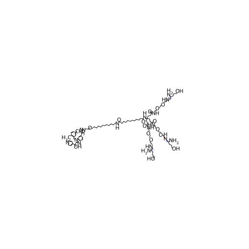 Cc1ccc(C)c(Cn2c(C(O)c3ccncc3)nc3ccc(-c4cnn(CCOCCCCCCCCCCCCNC(=O)CCCCCCCCCCC(=O)NC(CCC(=O)NCCOCCOCCN/C=C(\N)CCCO)(CCC(=O)NCCOCCOCCN/C=C(\N)CCCO)CCC(=O)NCCOCCOCCN/C=C(\N)CCCO)c4)cc32)c1